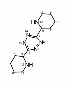 C1CCC(c2nnc(C3CCCCN3)nn2)NC1